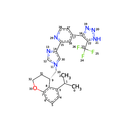 CC(C)c1cccc2c1[C@@H](Cn1cnc(-c3cc(-c4nn[nH]c4C(F)(F)F)ccn3)c1)CCO2